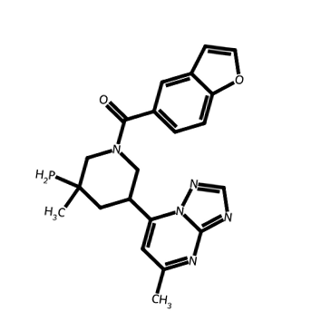 Cc1cc(C2CN(C(=O)c3ccc4occc4c3)CC(C)(P)C2)n2ncnc2n1